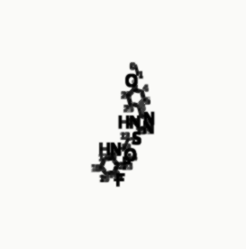 CCOc1ccc(-c2nnc(SCC(=O)Nc3cccc(F)c3F)[nH]2)cc1